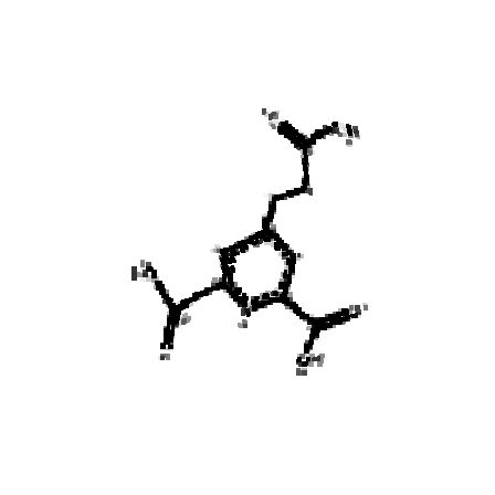 O=C(O)CCc1cc(C(=O)O)nc(C(=O)O)c1